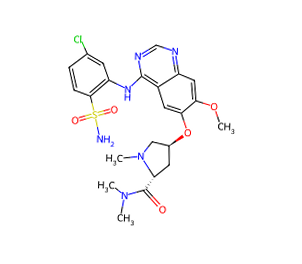 COc1cc2ncnc(Nc3cc(Cl)ccc3S(N)(=O)=O)c2cc1O[C@H]1C[C@H](C(=O)N(C)C)N(C)C1